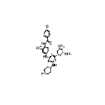 N[C@@H]1C[C@H](N)CN(c2nc(Nc3ccc(NC(=O)c4ccc(Cl)cc4)c(O)c3)nc(NC3CCNCC3)n2)C1